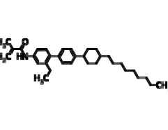 C=C(C)C(=O)Nc1ccc(-c2ccc(C3CCC(CCCCCCCCC)CC3)cc2)c(CC)c1